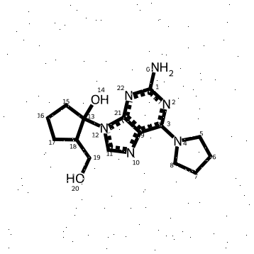 Nc1nc(N2CCCC2)c2ncn(C3(O)CCCC3CO)c2n1